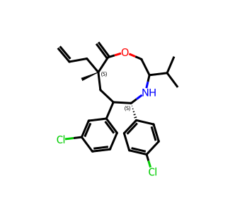 C=CC[C@@]1(C)CC(c2cccc(Cl)c2)[C@@H](c2ccc(Cl)cc2)NC(C(C)C)COC1=C